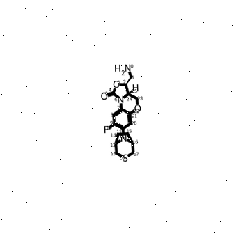 NC[C@@H]1OC(=O)N2c3cc(F)c(N4C5CCC4CSC5)cc3OC[C@@H]12